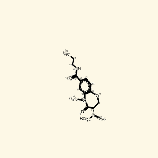 CN1C(=O)[C@@H](N(C(=O)O)C(C)(C)C)COc2ccc(C(=O)NCCC#N)cc21